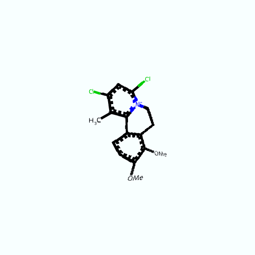 COc1ccc2c(c1OC)CC[n+]1c(Cl)cc(Cl)c(C)c1-2